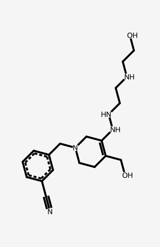 N#Cc1cccc(CN2CCC(CO)=C(NNCCNCCO)C2)c1